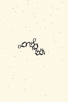 COc1ccc(CN2Cc3nc(-n4ccc5cncnc54)ccc3C2=O)cc1